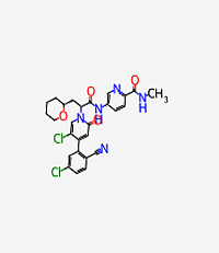 CNC(=O)c1ccc(NC(=O)C(C[C@@H]2CCCCO2)n2cc(Cl)c(-c3cc(Cl)ccc3C#N)cc2=O)cn1